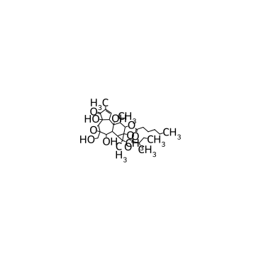 CCCCCC(=O)OC1C(C)C2(O)C(C(O)C3(CO)OC3C3(O)C(=O)C(C)=CC32)C2C(C)(C)C12OC(=O)C(C)CC